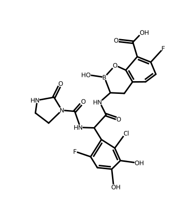 O=C(O)c1c(F)ccc2c1OB(O)C(NC(=O)C(NC(=O)N1CCNC1=O)c1c(F)cc(O)c(O)c1Cl)C2